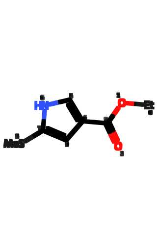 CCOC(=O)c1c[nH]c(SC)c1